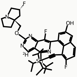 [2H]c1nc(OC[C@@]23CCCN2C[C@H](F)C3)nc2c(F)c(-c3cc(O)cc4ccc(F)c(C#C[Si](C(C)C)(C(C)C)C(C)C)c34)nc(OC(C)C)c12